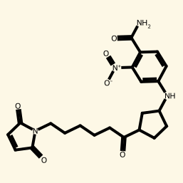 NC(=O)c1ccc(NC2CCC(C(=O)CCCCCN3C(=O)C=CC3=O)C2)cc1[N+](=O)[O-]